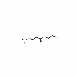 CN(C)SCCC(=O)OCCN.Cl.Cl